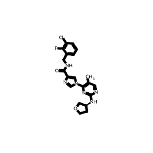 Cc1cnc(N[C@H]2CCOC2)nc1-n1cnc(C(=O)NCc2cccc(Cl)c2F)c1